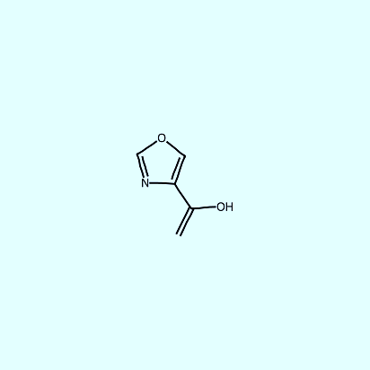 C=C(O)c1cocn1